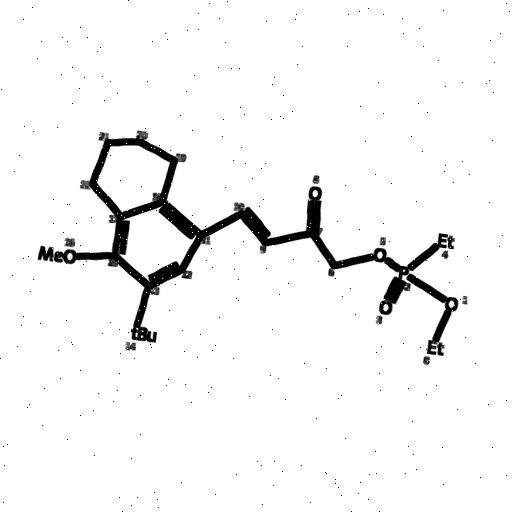 CCOP(=O)(CC)OCC(=O)C=Cc1cc(C(C)(C)C)c(OC)c2c1CCCC2